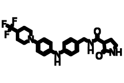 O=C1NCCC1C(=O)NCc1ccc(Nc2ccc(N3CCC(C(F)(F)F)CC3)cc2)cc1